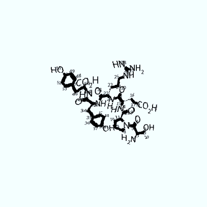 C[C@@H](O)[C@H](N)C(=O)N1CCC[C@H]1C(=O)N[C@@H](CCC(=O)O)C(=O)N[C@@H](CCCNC(=N)N)C(=O)N[C@@H](Cc1ccc(O)cc1)C(=O)N[C@@H](Cc1ccc(O)cc1)C(=O)O